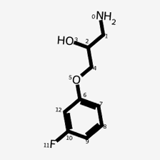 NCC(O)COc1cccc(F)c1